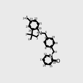 CC1(C)CN(Cc2ccc(Cn3ccccc3=O)cc2)c2ccc(I)cc21